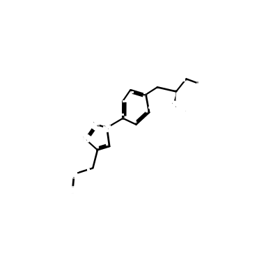 CCSCc1cn(-c2ccc(C[C@H](N)CF)cc2)nn1